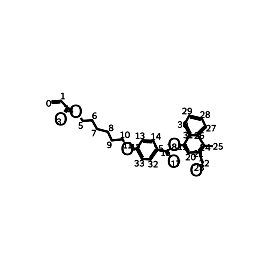 C=CC(=O)OCCCCCCOc1ccc(C(=O)Oc2cc(C=O)c(C)c3ccccc23)cc1